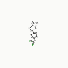 CCCCCCCCc1ccc(-c2ccc(C=C(F)F)cc2)cc1